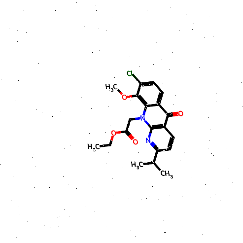 CCOC(=O)Cn1c2nc(C(C)C)ccc2c(=O)c2ccc(Cl)c(OC)c21